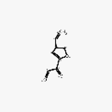 C=CC1C=C(C(=O)C=O)OC1